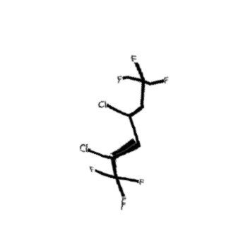 FC(F)(F)CC(Cl)/C=C(\Cl)C(F)(F)F